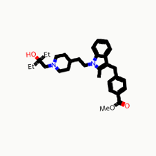 CCC(O)(CC)CN1CCC(CCn2c(C)c(Cc3ccc(C(=O)OC)cc3)c3ccccc32)CC1